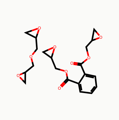 C(OCC1CO1)C1CO1.O=C(OCC1CO1)c1ccccc1C(=O)OCC1CO1